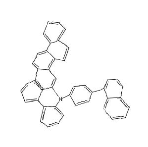 c1ccc(-c2ccccc2N(c2ccc(-c3cccc4ccccc34)cc2)c2ccc3ccc4c5ccccc5ccc4c3c2)cc1